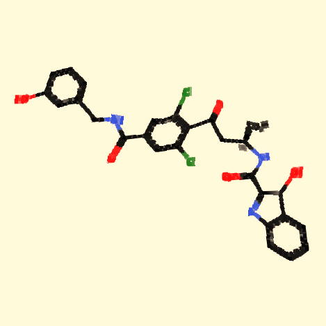 O=C(N[C@@H](CC(=O)c1c(Cl)cc(C(=O)NCc2cccc(O)c2)cc1Cl)C(=O)O)C1=Nc2ccccc2C1O